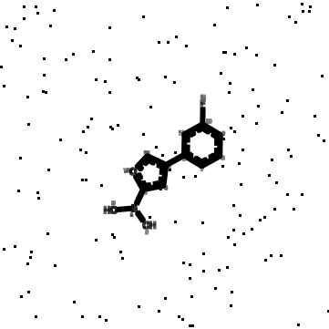 OB(O)c1cc(-c2cccc(F)c2)co1